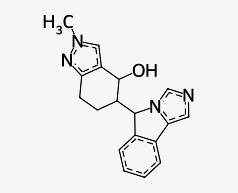 Cn1cc2c(n1)CCC(C1c3ccccc3-c3cncn31)C2O